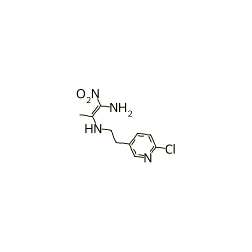 CC(NCCc1ccc(Cl)nc1)=C(N)[N+](=O)[O-]